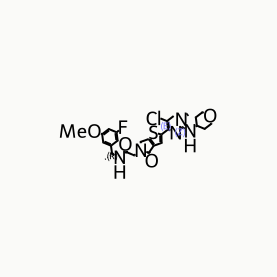 C=N/C(=N\C(=C(/C)Cl)c1cc2c(s1)CN(CC(=O)N[C@H](C)c1cc(F)cc(OC)c1)C2=O)NC1CCOCC1